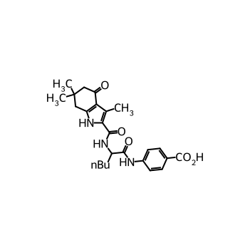 CCCCC(NC(=O)c1[nH]c2c(c1C)C(=O)CC(C)(C)C2)C(=O)Nc1ccc(C(=O)O)cc1